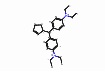 CCN(CC)c1ccc(C(c2ccc(N(CC)CC)cc2)C2C=CCC2)cc1